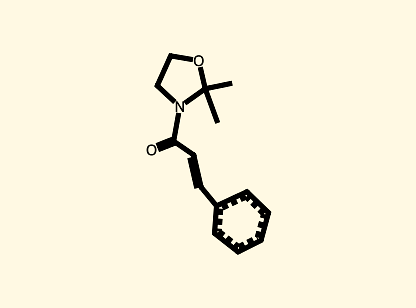 CC1(C)OCCN1C(=O)/C=C/c1ccccc1